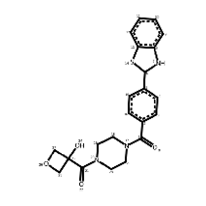 O=C(c1ccc(C2Nc3ccccc3S2)cc1)N1CCN(C(=O)C2(O)COC2)CC1